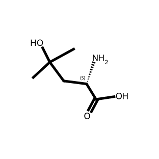 CC(C)(O)C[C@H](N)C(=O)O